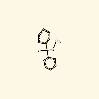 COC(Cl)(c1ccccc1)c1ccccc1